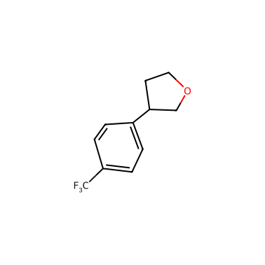 FC(F)(F)c1ccc(C2CCOC2)cc1